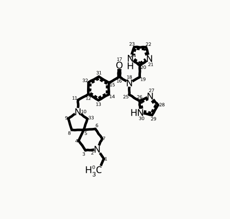 CCN1CCC2(CC1)CCN(Cc1ccc(C(=O)N(Cc3ncc[nH]3)Cc3ncc[nH]3)cc1)C2